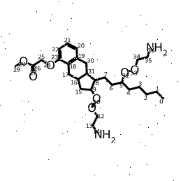 CCCCCC(CCC1C(OOCCN)CC2Cc3c(cccc3OCC(=O)OC)CC21)OOCCN